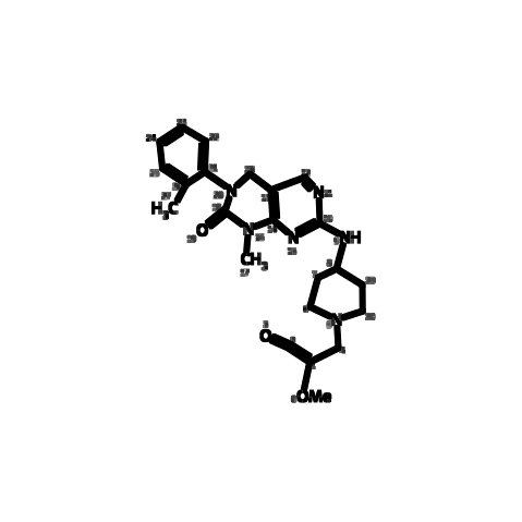 COC(=C=O)CN1CCC(Nc2ncc3c(n2)N(C)C(=O)N(c2ccccc2C)C3)CC1